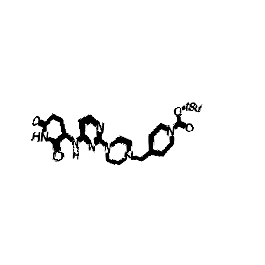 CC(C)(C)OC(=O)N1CCC(CN2CCN(c3nccc(NC4CCC(=O)NC4=O)n3)CC2)CC1